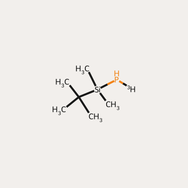 [3H]P[Si](C)(C)C(C)(C)C